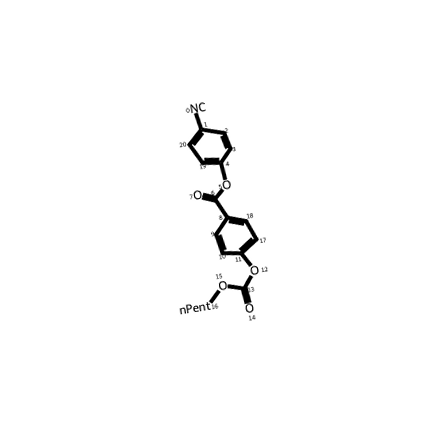 [C-]#[N+]c1ccc(OC(=O)c2ccc(OC(=O)OCCCCC)cc2)cc1